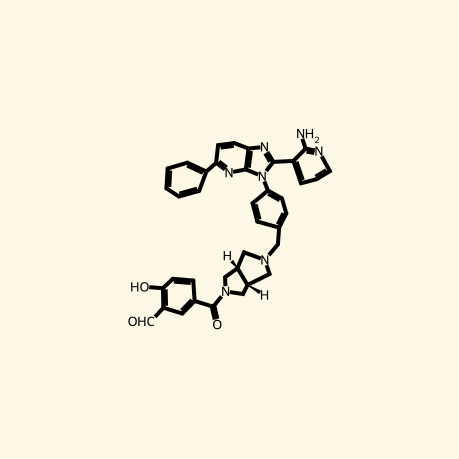 Nc1ncccc1-c1nc2ccc(-c3ccccc3)nc2n1-c1ccc(CN2C[C@@H]3CN(C(=O)c4ccc(O)c(C=O)c4)C[C@@H]3C2)cc1